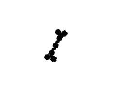 Cc1ccc(N(c2ccccc2)c2ccc(C=Cc3ccc(C=Cc4ccc(N(c5ccccc5)c5ccc(C)c(C)c5)cc4)cc3)cc2)cc1C